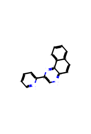 c1ccc(-c2cnc3ccc4ccccc4c3n2)nc1